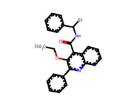 CCOC(=O)COc1c(-c2ccccc2)nc2ccccc2c1C(=O)NC(CC)c1ccccc1